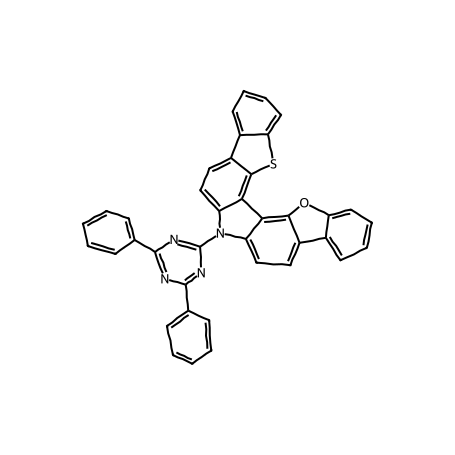 c1ccc(-c2nc(-c3ccccc3)nc(-n3c4ccc5c6ccccc6oc5c4c4c5sc6ccccc6c5ccc43)n2)cc1